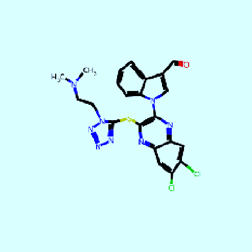 CN(C)CCn1nnnc1Sc1nc2cc(Cl)c(Cl)cc2nc1-n1cc(C=O)c2ccccc21